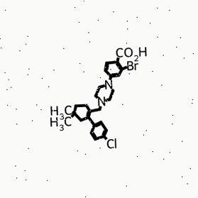 CC1(C)CCC(CN2CCN(c3ccc(C(=O)O)c(Br)c3)CC2)=C(c2ccc(Cl)cc2)C1